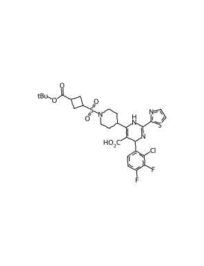 CC(C)(C)OC(=O)C1CC(S(=O)(=O)N2CCC(C3=C(C(=O)O)C(c4ccc(F)c(F)c4Cl)N=C(c4nccs4)N3)CC2)C1